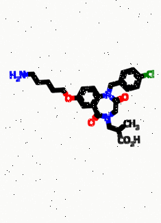 CC(CN1CC(=O)N(Cc2ccc(Cl)cc2)c2ccc(OCCCCCN)cc2C1=O)C(=O)O